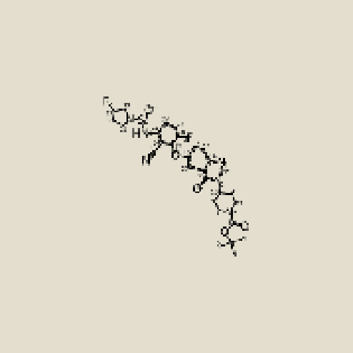 CC(C)(C)OC(=O)N1CCC(n2cnc3ccc(Oc4c(F)ccc(N[S+]([O-])N5CCC(F)C5)c4C#N)cc3c2=O)CC1